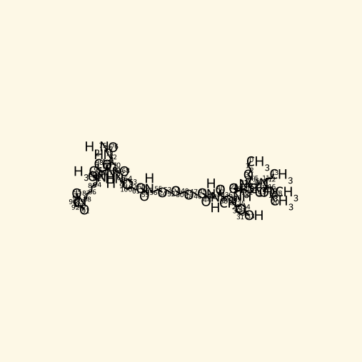 CCCO[C@H](C[C@H](C(C)C)N(CCC)C(=O)C[C@@H](C)CC)c1nc(C(=O)N[C@@H](Cc2ccc(O)cc2)C[C@H](C)C(=O)NNC(=O)OCCOCCOCCOCCNC(=O)OCc2ccc(NC(=O)[C@H](CCCNC(N)=O)NC(=O)[C@@H](NC(=O)CCCCCN3C(=O)C=CC3=O)C(C)C)cc2)cs1